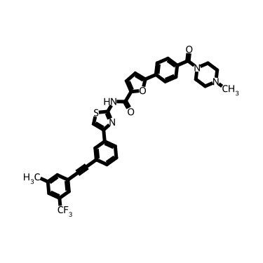 Cc1cc(C#Cc2cccc(-c3csc(NC(=O)c4ccc(-c5ccc(C(=O)N6CCN(C)CC6)cc5)o4)n3)c2)cc(C(F)(F)F)c1